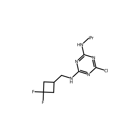 CC(C)Nc1nc(Cl)nc(NCC2CC(F)(F)C2)n1